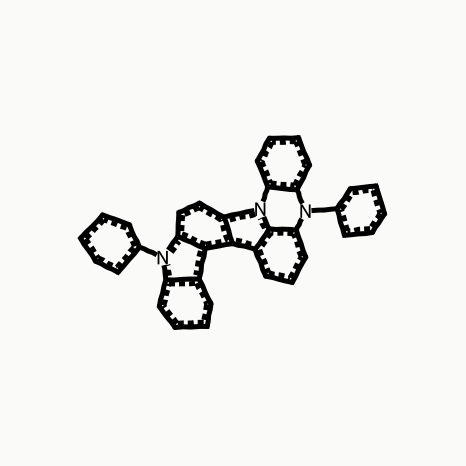 c1ccc(N2c3ccccc3-n3c4ccc5c(c6ccccc6n5-c5ccccc5)c4c4cccc2c43)cc1